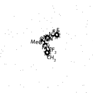 COC(=O)C(c1cnc(-c2ccc(C)cc2C(F)(F)F)nc1)n1cc2nc(-c3cccc(F)c3F)nc-2cn1